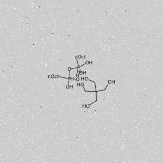 CCCCCCCC[PH](O)(O)O[PH](O)(O)CCCCCCCC.OCC(CO)(CO)CO